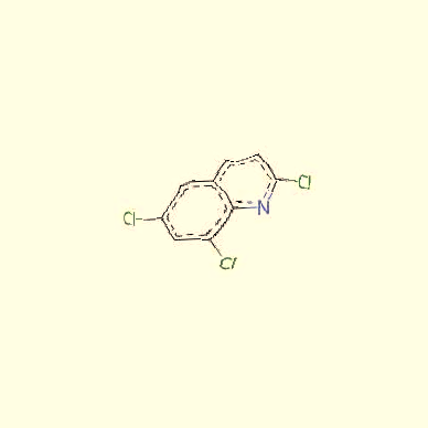 Clc1cc(Cl)c2nc(Cl)ccc2c1